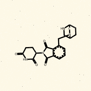 O=C1CCC(N2C(=O)c3cccc(CN4CC5CCC4CN5)c3C2=O)C(=O)N1